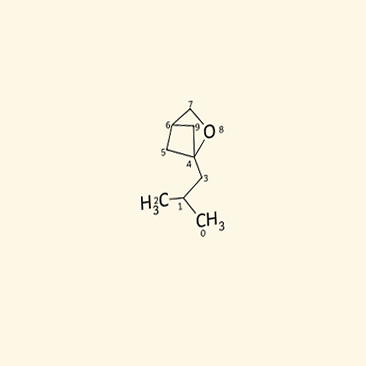 CC(C)CC12CC(CO1)C2